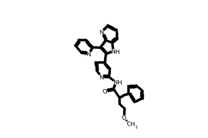 COCCC(C(=O)Nc1cc(-c2[nH]c3cccnc3c2-c2ccccn2)ccn1)c1ccccc1